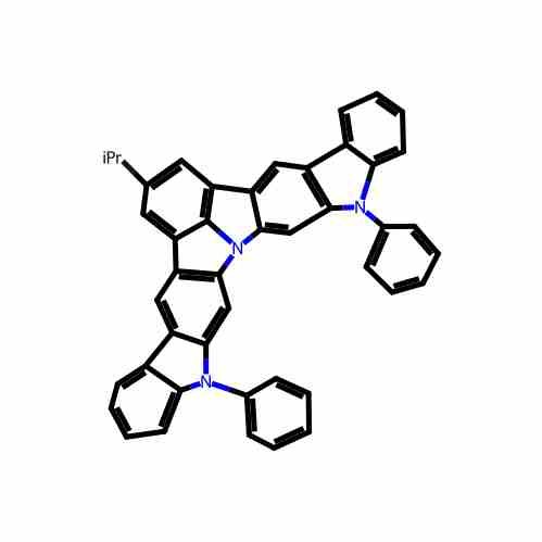 CC(C)c1cc2c3cc4c5ccccc5n(-c5ccccc5)c4cc3n3c4cc5c(cc4c(c1)c23)c1ccccc1n5-c1ccccc1